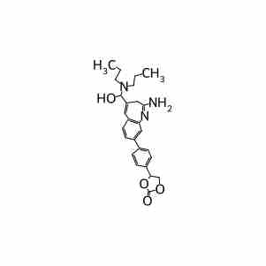 CCCN(CCC)C(O)C1=Cc2ccc(-c3ccc(C4COC(=O)O4)cc3)cc2N=C(N)C1